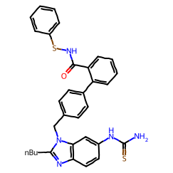 CCCCc1nc2ccc(NC(N)=S)cc2n1Cc1ccc(-c2ccccc2C(=O)NSc2ccccc2)cc1